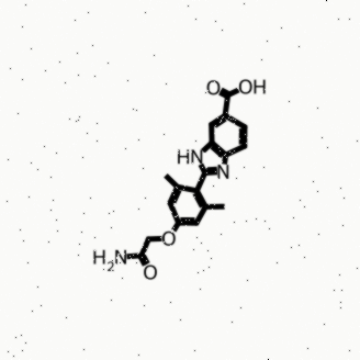 Cc1cc(OCC(N)=O)cc(C)c1-c1nc2ccc(C(=O)O)cc2[nH]1